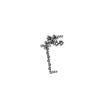 COCCOCCOCCOCCOCCOCCOC(=O)N[C@@H](C(=O)N[C@@H]([CH]CN(Cc1ccc(-c2ccccn2)cc1)NC(=O)[C@H](NC(=O)OC)C(C)(C)C)Cc1ccccc1)C(C)(C)C